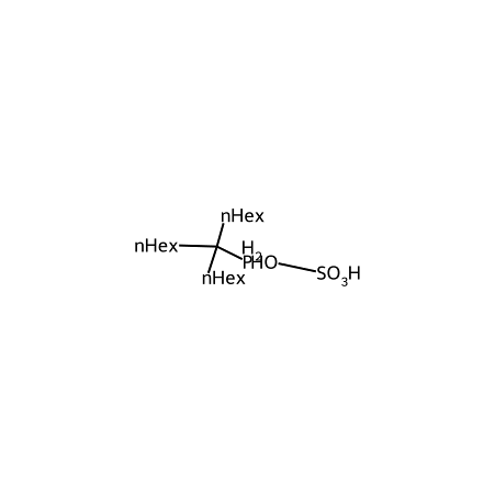 CCCCCCC(P)(CCCCCC)CCCCCC.O=S(=O)(O)O